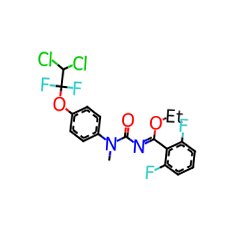 CCO/C(=N\C(=O)N(C)c1ccc(OC(F)(F)C(Cl)Cl)cc1)c1c(F)cccc1F